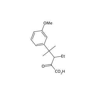 CCC(C(=O)C(=O)O)C(C)(C)c1cccc(OC)c1